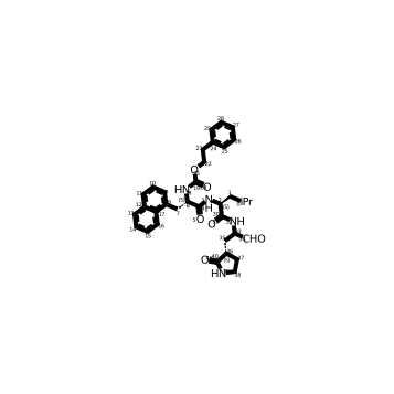 CC(C)C[C@H](NC(=O)[C@H](Cc1cccc2ccccc12)NC(=O)OCCc1ccccc1)C(=O)NC(C=O)C[C@@H]1CCNC1=O